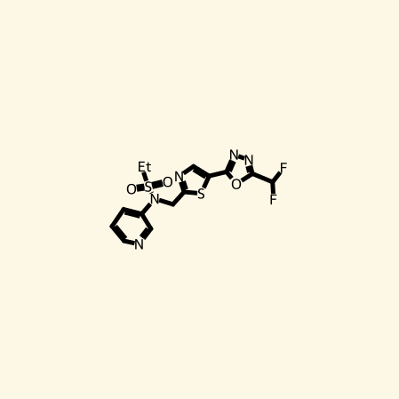 CCS(=O)(=O)N(Cc1ncc(-c2nnc(C(F)F)o2)s1)c1cccnc1